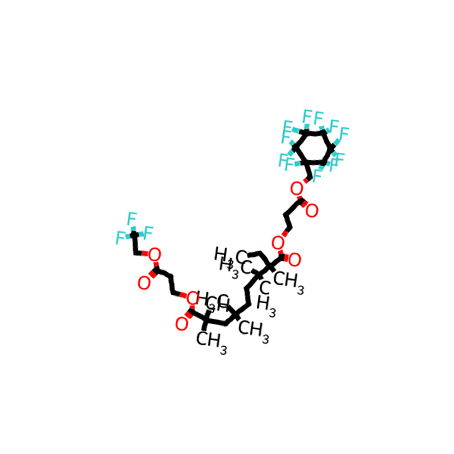 CCC(C)(C(=O)OCCC(=O)OCC1(F)C(F)(F)C(F)(F)C(F)(F)C(F)(F)C1(F)F)C(C)(C)CCC(C)(C)CC(C)(C)C(=O)OCCC(=O)OCC(F)(F)F